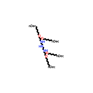 CCCCCCCCCCCCCCCCOCC(CNCCNCCNCC(COCCCCCCCCCCCCCCCC)OCCCCCCCCCCCCCCCC)OCCCCCCCCCCCCCCCC